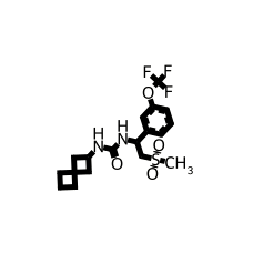 CS(=O)(=O)CC(NC(=O)NC1CC2(CCC2)C1)c1cccc(OC(F)(F)F)c1